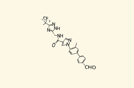 Cc1cc(-c2ccc(C=O)cc2)ccc1-n1cc(C(=O)NCc2nc(C(C)(C)C(F)(F)F)n[nH]2)cn1